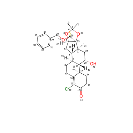 CC1(C)O[C@@H]2C[C@H]3[C@@H]4CCC5=C(Cl)C(=O)CC[C@]5(C)[C@H]4[C@@H](O)C[C@]3(C)[C@]2(C(=S)OCc2ccccc2)O1